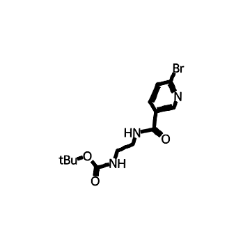 CC(C)(C)OC(=O)NCCNC(=O)c1ccc(Br)nc1